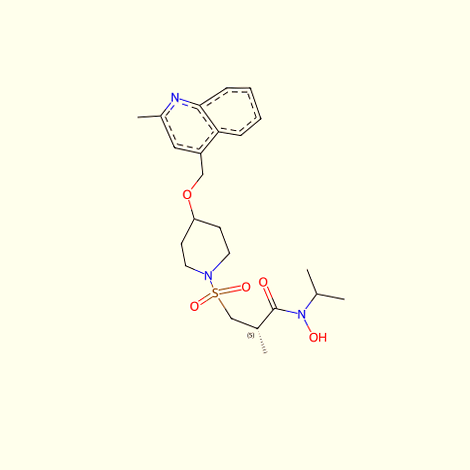 Cc1cc(COC2CCN(S(=O)(=O)C[C@@H](C)C(=O)N(O)C(C)C)CC2)c2ccccc2n1